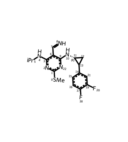 CSc1nc(NC(C)C)c(C=N)c(N[C@@H]2CC2c2ccc(F)c(F)c2)n1